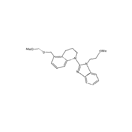 COCCn1c(N2CCCc3c(COCOC)cccc32)nc2ccccc21